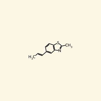 C/C=C/c1ccc2sc(C)nc2c1